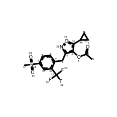 CC(=O)Oc1c(Cc2ccc(S(C)(=O)=O)cc2C(F)(F)F)noc1C1CC1